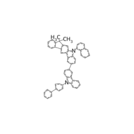 CC1(C)c2ccccc2-c2cc3c4cc(-c5ccc6c(c5)c5ccccc5n6-c5ccc(-c6ccccc6)cc5)ccc4n(-c4cccc5ccccc45)c3cc21